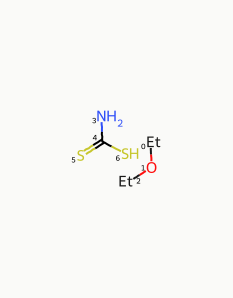 CCOCC.NC(=S)S